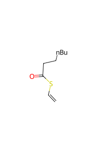 C=CSC(=O)CCCCCC